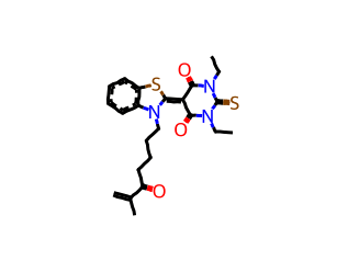 C=C(C)C(=O)CCCCN1C(=C2C(=O)N(CC)C(=S)N(CC)C2=O)Sc2ccccc21